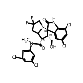 CN(C(=O)[C@@H]1C2CC(F)(F)CN2[C@@]2(C(=O)Nc3c(Cl)cc(Cl)cc32)[C@@H]1CO)c1cc(Cl)cc(Cl)c1